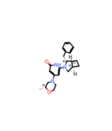 C[C@@H]1CN(c2cc(N3C[C@@H]4CC[C@@H]4[C@H]3Cc3ccccc3)[nH]c(=O)c2)CCO1